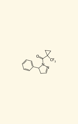 O=C(N1N=CCC1c1ccccc1)C1(C(F)(F)F)CC1